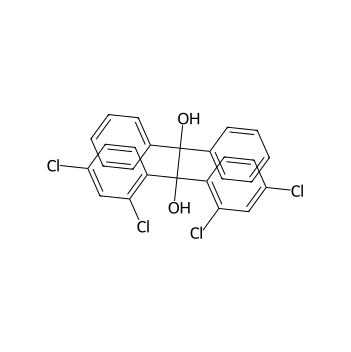 OC(c1ccccc1)(c1ccccc1)C(O)(c1ccc(Cl)cc1Cl)c1ccc(Cl)cc1Cl